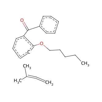 C=C=C(C)C.CCCCCOc1ccccc1C(=O)c1ccccc1